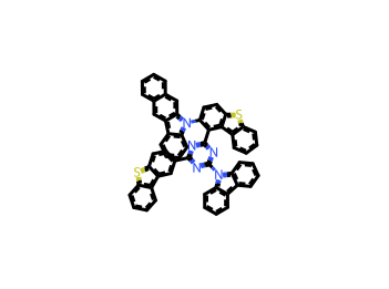 c1ccc2cc3c(cc2c1)c1ccccc1n3-c1ccc2sc3ccccc3c2c1-c1nc(-c2ccc3sc4ccccc4c3c2)nc(-n2c3ccccc3c3ccccc32)n1